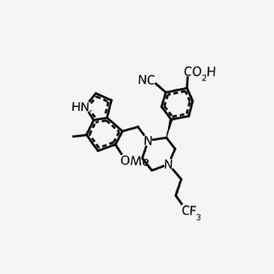 COc1cc(C)c2[nH]ccc2c1CN1CCN(CCC(F)(F)F)C[C@@H]1c1ccc(C(=O)O)c(C#N)c1